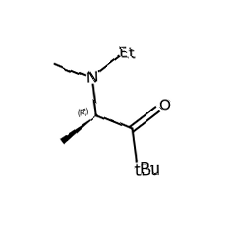 CCN(C)[C@H](C)C(=O)C(C)(C)C